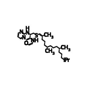 CC(=CSCC(Nc1ncccn1)C1=COC=CN1)CCCC(C)CCCC(C)CCCC(C)C